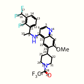 COc1cc2nccc(NC(C)c3cccc(C(F)F)c3F)c2cc1C1CCN(C(=O)C(F)(F)F)CC1